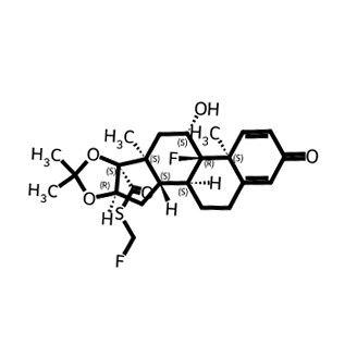 CC1(C)O[C@@H]2C[C@H]3[C@@H]4CCC5=CC(=O)C=C[C@]5(C)[C@@]4(F)[C@@H](O)C[C@]3(C)[C@]2(C(=O)SCF)O1